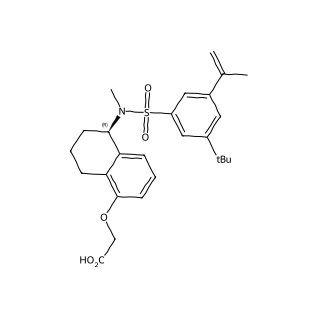 C=C(C)c1cc(C(C)(C)C)cc(S(=O)(=O)N(C)[C@@H]2CCCc3c(OCC(=O)O)cccc32)c1